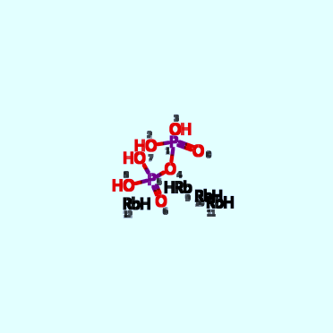 O=P(O)(O)OP(=O)(O)O.[RbH].[RbH].[RbH].[RbH]